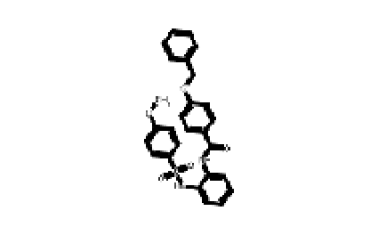 COc1ccc(S(=O)(=O)Nc2ccccc2NC(=O)c2ccc(OCc3ccccc3)cc2)cc1